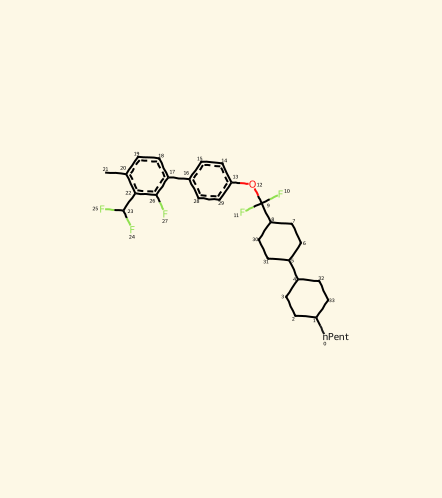 CCCCCC1CCC(C2CCC(C(F)(F)Oc3ccc(-c4ccc(C)c(C(F)F)c4F)cc3)CC2)CC1